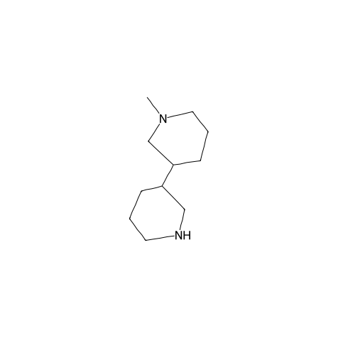 CN1CCCC(C2CCCNC2)C1